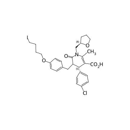 CC1=C(C(=O)O)[C@H](c2ccc(Cl)cc2)C(Cc2ccc(OCCCCI)cc2)C(=O)N1C[C@H]1CCCO1